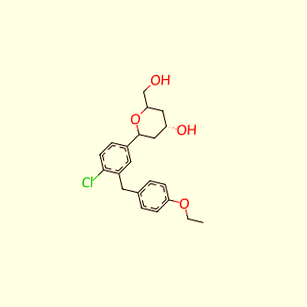 CCOc1ccc(Cc2cc(C3C[C@@H](O)CC(CO)O3)ccc2Cl)cc1